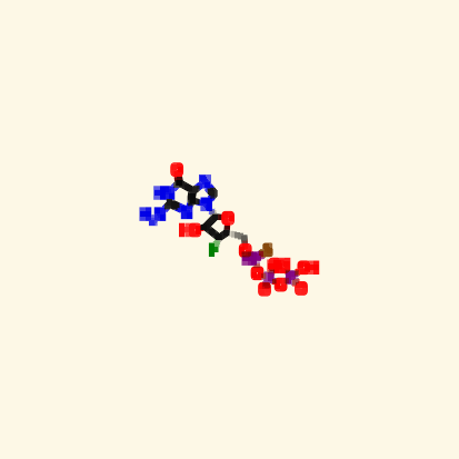 Nc1nc2c(ncn2[C@@H]2O[C@H](CO[PH](=S)OP(=O)(O)OP(=O)(O)O)[C@H](F)C2O)c(=O)[nH]1